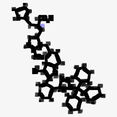 CCCCc1ncc(/C=C(\Cc2cccs2)C(=O)O)n1Cc1ccc2oc(-c3ccccc3-c3nnn(C(c4ccccc4)(c4ccccc4)c4ccccc4)n3)c(Br)c2c1